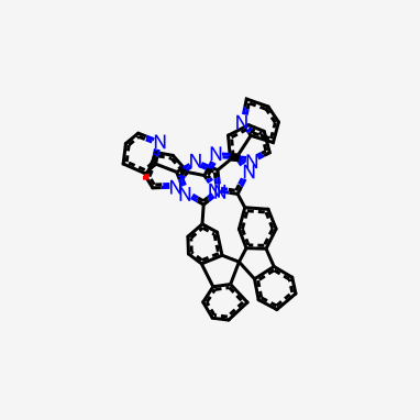 c1ccc(-c2nc(-c3ccc4c(c3)C3(c5ccccc5-4)c4ccccc4-c4ccc(-c5nc(-c6ccccn6)nc(-c6ccccn6)n5)cc43)nc(-c3ccccn3)n2)nc1